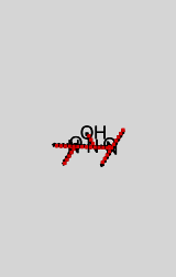 CCCCCCCCCCN(CCCCCCCCCC)C(=O)CCCCCCCN(CCCCCCO)CCCCCCCC(=O)N(CCCCCCCCCC)CCCCCCCCCC